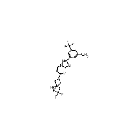 Cc1cc(-c2ncn(/C=C\C(=O)N3CC(O)(CC(F)(F)F)C3)n2)cc(C(F)(F)F)c1